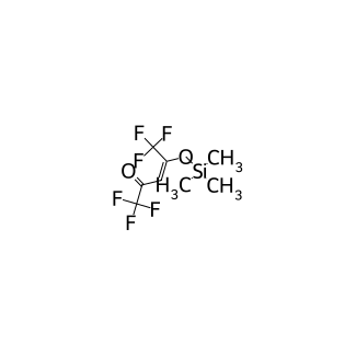 C[Si](C)(C)OC(=CC(=O)C(F)(F)F)C(F)(F)F